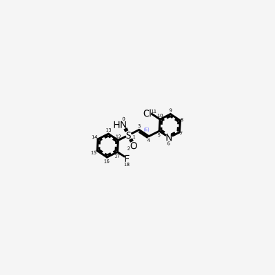 N=S(=O)(/C=C/c1ncccc1Cl)c1ccccc1F